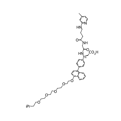 Cc1ccnc(NCCCC(=O)NCC(=O)N[C@@H](CC(=O)O)c2ccc(-c3ccc(OCCOCCOCCOCCOCCC(C)C)c4ccccc34)cc2)c1